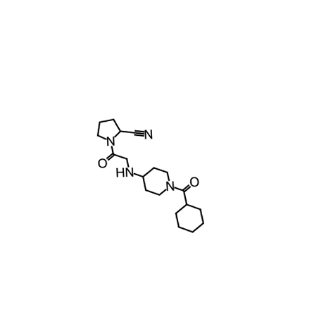 N#CC1CCCN1C(=O)CNC1CCN(C(=O)C2CCCCC2)CC1